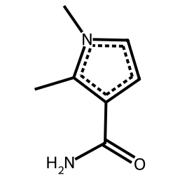 Cc1c(C(N)=O)ccn1C